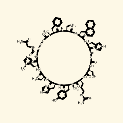 CC[C@@H]1NC(=O)[C@H](Cc2c[nH]cn2)NC(=O)[C@H](Cc2ccc(O)cc2)N(C)C(=O)[C@H](CCCNC(=N)N)NC(=O)[C@H](CO)NC(=O)CNC(=O)[C@H](Cc2c[nH]cn2)NC(=O)[C@H](Cc2cccc3ccccc23)NC(=O)[C@H](CC)NC(=O)[C@H](Cc2ccccc2)N(C)C(=O)CSC[C@@H](C(=O)NCC(N)=O)NC(=O)[C@H](Cc2cncn2C)NC1=O